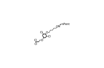 CCCCCC=NOCCCCCOc1c(Cl)cc(OCC=C(Cl)Cl)cc1Cl